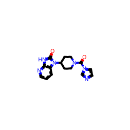 O=C(N1CCC(n2c(=O)[nH]c3ncccc32)CC1)n1ccnc1